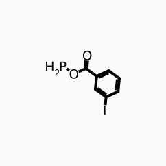 O=C(OP)c1cccc(I)c1